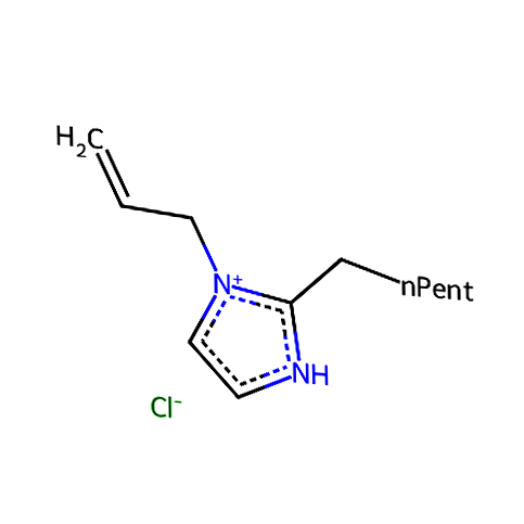 C=CC[n+]1cc[nH]c1CCCCCC.[Cl-]